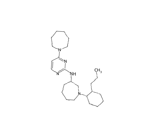 CCCC1CCCCC1N1CCCCC(Nc2nccc(N3CCCCCC3)n2)C1